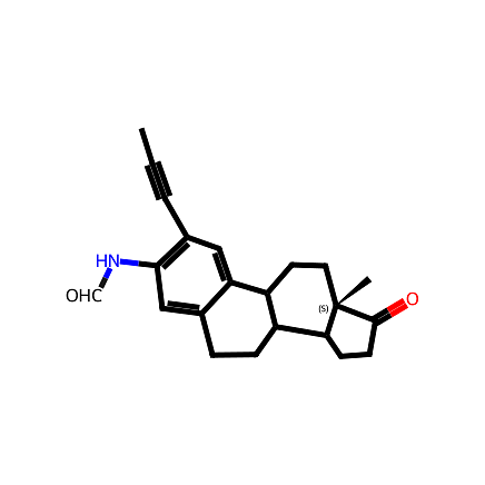 CC#Cc1cc2c(cc1NC=O)CCC1C2CC[C@]2(C)C(=O)CCC12